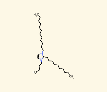 CCCCCCCCCCCCN1C=CN(CCCC)C1CCCCCCCCCC